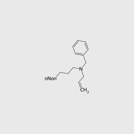 C=CCN(CCCCCCCCCCCC)Cc1ccccc1